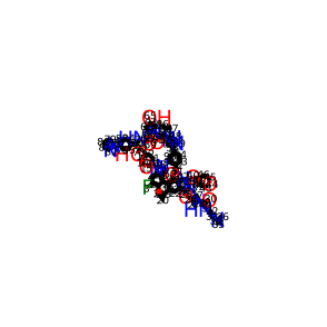 Cc1c(F)cc2c(cnn2C2CCCCO2)c1-c1c(C2CC2)cc2c(OC3CN(C(=O)NCCN(C)C)C3)nc(OC3CCOCC3)nc2c1OCc1ccc(-c2cn([C@H](C(=O)N3C[C@H](O)C[C@H]3C(=O)N[C@@H](CO)c3ccc(-n4cccn4)cc3)C(C)C)nn2)cc1